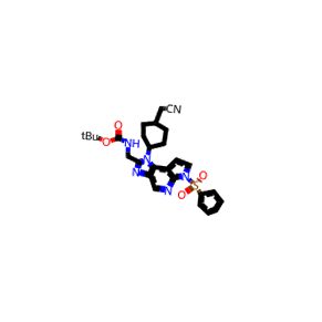 CC(C)(C)OC(=O)NCc1nc2cnc3c(ccn3S(=O)(=O)c3ccccc3)c2n1C1CCC(CC#N)CC1